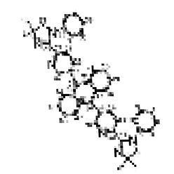 CC1(C)CN(c2ccccc2)C(c2ccc(-c3c4ccccc4c(-c4ccc(C5=NC(C)(C)CN5c5ccccc5)nc4)c4ccccc34)cn2)=N1